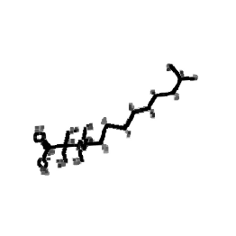 CC(C)CCCCCCC[N+](C)(C)C(C)(C)C(=O)[O-]